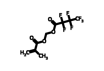 C=C(C)C(=O)OCOC(=O)C(F)(F)C(F)(F)C(F)(F)F